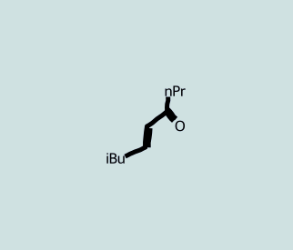 CCCC(=O)C=CC(C)CC